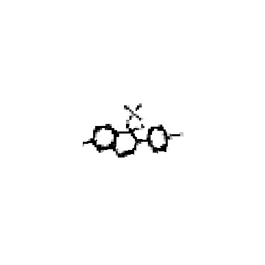 C[Si](C)(C)OC1(C#N)c2ccc(F)cc2C=CC1c1ccc(F)cc1